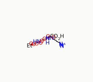 CCC(=O)COCCOCCNC(=O)COCCOCCNC(=O)CC[C@H](NC(=O)CCCCCCCCCN=[N+]=[N-])C(=O)O